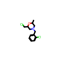 CC1CN(Cc2ccccc2Cl)CC(CCl)O1